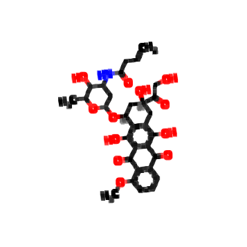 C=CCC(=O)NC1CC(O[C@H]2C[C@](O)(C(=O)CO)Cc3c(O)c4c(c(O)c32)C(=O)c2c(OC)cccc2C4=O)OC(C)C1O